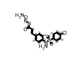 NON=NC(=O)/C=C/c1ccc(N(N)S(=O)(=O)c2ccc(Cl)cc2)cc1